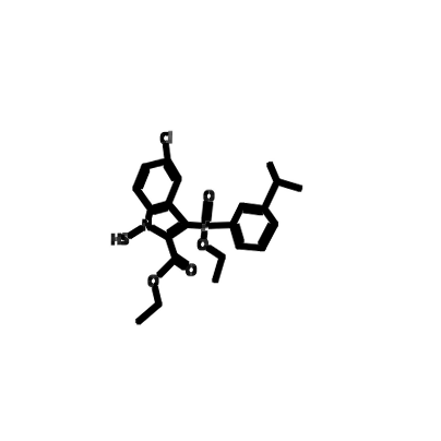 CCOC(=O)c1c(P(=O)(OCC)c2cccc(C(C)C)c2)c2cc(Cl)ccc2n1S